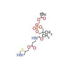 CC(C)(C)C(=O)OCO[P@@]1(=O)OCC(C)(C)[C@H](C(=O)NCCC(=O)OCC2CNCS2)O1